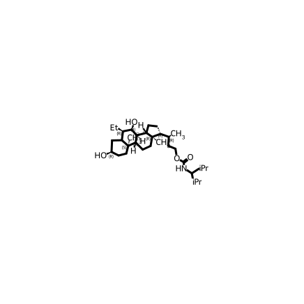 CC[C@@H]1C2C[C@H](O)CC[C@]2(C)[C@H]2CC[C@]3(C)[C@@H]([C@H](C)CCOC(=O)NC(C(C)C)C(C)C)CC[C@H]3[C@@H]2[C@@H]1O